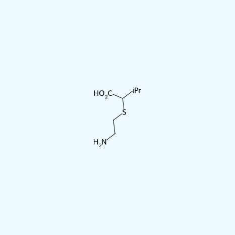 CC(C)C(SCCN)C(=O)O